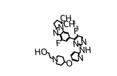 CC1(C)CCc2nc3c(F)cc(-c4nc(Nc5ccc(OC6CCN(CCO)CC6)cn5)ncc4F)cc3n21